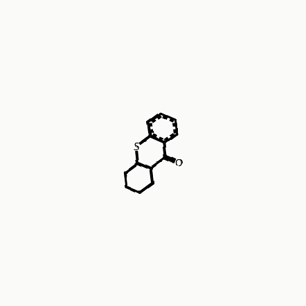 O=C1c2ccccc2SC2CCCCC12